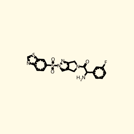 NC(C(=O)N1Cc2cn(S(=O)(=O)c3ccc4ncsc4c3)nc2C1)c1cccc(F)c1